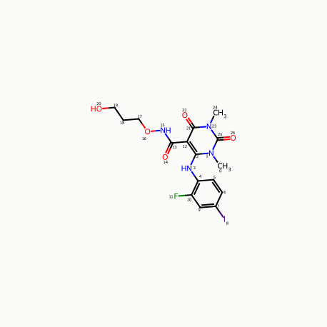 Cn1c(Nc2ccc(I)cc2F)c(C(=O)NOCCCO)c(=O)n(C)c1=O